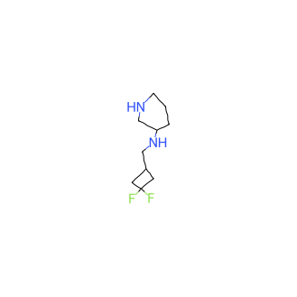 FC1(F)CC(CNC2CCCNC2)C1